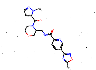 Cn1nccc1C(=O)N1CCOC[C@@H]1CNC(=O)c1ccc(-c2noc(C(F)(F)F)n2)cn1